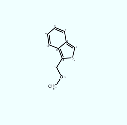 O=COCc1scc2ccccc12